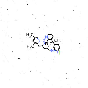 Cc1cnc(CC(CCCN)NCc2ncccc2C(C)(C)c2ccc(F)cc2)c(C)c1